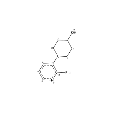 OC1CCC(c2cccnc2F)CC1